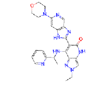 CCn1cc2[nH]c(=O)c(-c3nc4cnc(N5CCOCC5)cc4[nH]3)c(NC(C)c3ccccn3)c2n1